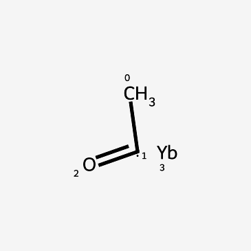 C[C]=O.[Yb]